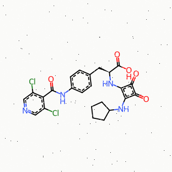 O=C(Nc1ccc(C[C@H](Nc2c(NC3CCCC3)c(=O)c2=O)C(=O)O)cc1)c1c(Cl)cncc1Cl